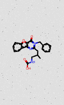 CC(CNC(=O)O)Cc1nc2c(oc3ccccc32)c(=O)n1Cc1ccccc1